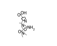 CCN(CC)C(=O)CCN(CC(N)=O)C(C)c1cc(C(=O)O)ccn1